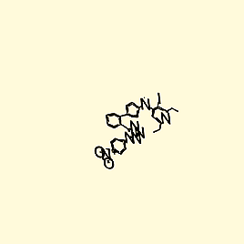 CCc1cc(N(C)c2ccc(-c3ccccc3-c3nnnn3-c3ccc([N+](=O)[O-])cc3)cc2)c(I)c(CC)n1